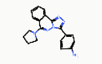 Nc1ccc(-c2nnc3c4ccccc4c(N4CCCC4)nn23)cc1